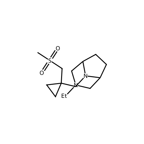 CCN1CC2CCC(C1)N2CC1(CS(C)(=O)=O)CC1